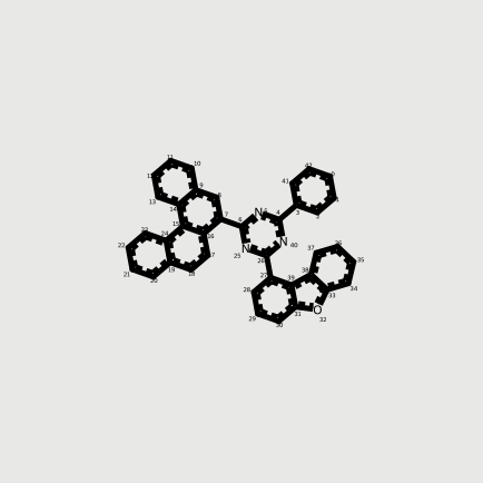 c1ccc(-c2nc(-c3cc4ccccc4c4c3ccc3ccccc34)nc(-c3cccc4oc5ccccc5c34)n2)cc1